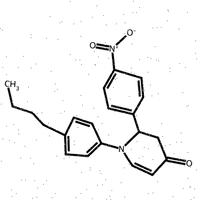 CCCCc1ccc(N2C=CC(=O)CC2c2ccc([N+](=O)[O-])cc2)cc1